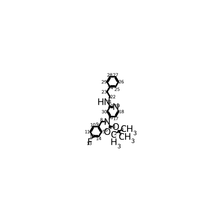 CC(C)(C)OC(=O)N(Cc1ccc(F)cc1)c1ccnc(NCCc2ccccc2)c1